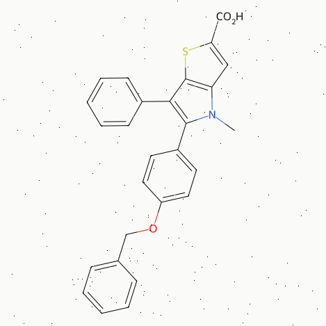 Cn1c(-c2ccc(OCc3ccccc3)cc2)c(-c2ccccc2)c2sc(C(=O)O)cc21